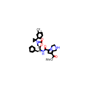 COC(=O)c1cc(C(=O)N[C@@H](Cc2ccccc2)[C@H]2CN(C3(c4cccc(C(F)(F)F)c4)CC3)C(=O)O2)n2c1CNCC2